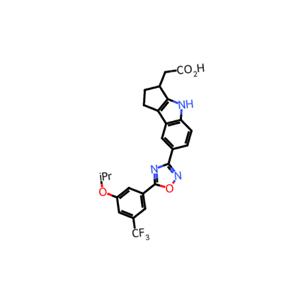 CC(C)Oc1cc(-c2nc(-c3ccc4[nH]c5c(c4c3)CCC5CC(=O)O)no2)cc(C(F)(F)F)c1